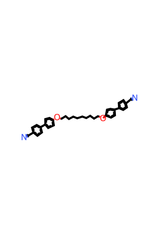 N#Cc1ccc(-c2ccc(OCCCCCCCCCCOc3ccc(-c4ccc(C#N)cc4)cc3)cc2)cc1